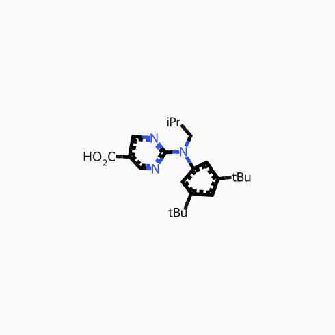 CC(C)CN(c1cc(C(C)(C)C)cc(C(C)(C)C)c1)c1ncc(C(=O)O)cn1